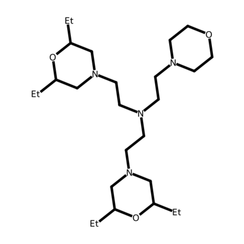 CCC1CN(CCN(CCN2CCOCC2)CCN2CC(CC)OC(CC)C2)CC(CC)O1